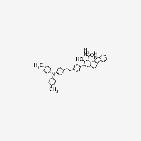 Cc1ccc(N(c2ccc(C)cc2)c2ccc(CCc3ccc(-c4cc5ccc6c7ccccc7[nH]c6c5c(C(N)=O)c4O)cc3)cc2)cc1